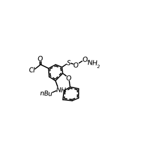 CCCCNc1cc(C(=O)Cl)cc(SOON)c1Oc1ccccc1